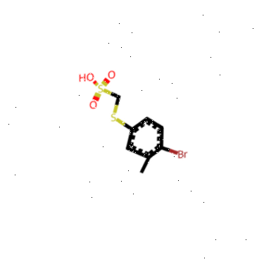 Cc1cc(SCS(=O)(=O)O)ccc1Br